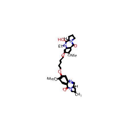 C=C1C[C@H]2C=Nc3cc(OCCCCCOc4cc5c(cc4OC)C(=O)N4CCC[C@H]4[C@H](O)N5CC)c(OC)cc3C(=O)N2C1